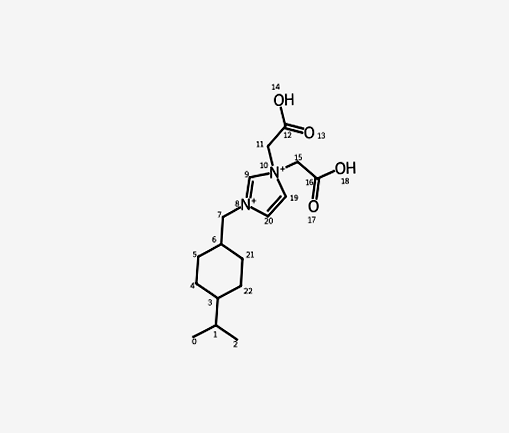 CC(C)C1CCC(C[N+]2=C[N+](CC(=O)O)(CC(=O)O)C=C2)CC1